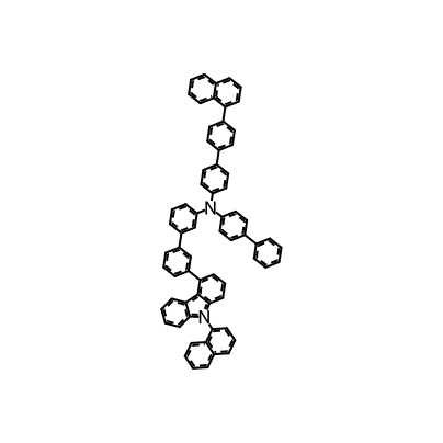 c1ccc(-c2ccc(N(c3ccc(-c4ccc(-c5cccc6ccccc56)cc4)cc3)c3cccc(-c4cccc(-c5cccc6c5c5ccccc5n6-c5cccc6ccccc56)c4)c3)cc2)cc1